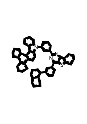 c1cc(-c2cccc3ccccc23)cc(-c2nc(-c3cccc(-n4c5ccccc5c5c6c7ccccc7c7ccccc7c6ccc54)c3)nc3c2sc2ccccc23)c1